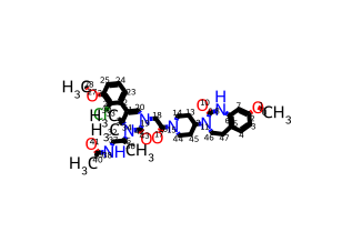 COc1ccc2c(c1)NC(=O)N(C1CCN(C(=O)CN3C=C(c4cccc(OC)c4Cl)C(C)(C)N(C(C)CNC(C)=O)C3=O)CC1)CC2